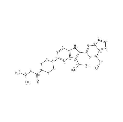 COc1cc(-c2[nH]c3ccc(C4CCN(C(=O)CN(C)C)CC4)nc3c2C(C)C)cn2ncnc12